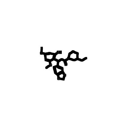 CCC1CCCN(C(=O)CC(c2ccc3c(c2)OCO3)c2c(O)cc(OC)cc2OC)C1